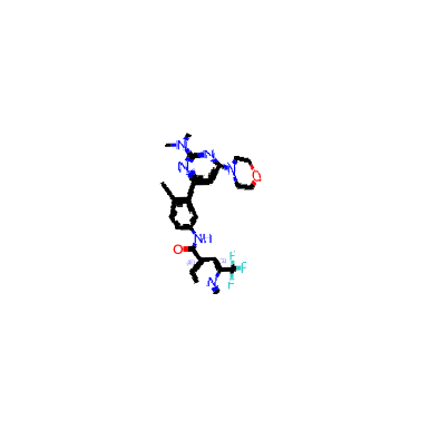 C=N/C(=C\C(=C/C)C(=O)Nc1ccc(C)c(-c2cc(N3CCOCC3)nc(N(C)C)n2)c1)C(F)(F)F